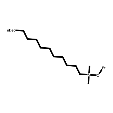 CCCCCCCCCCCCCCCCCCCC[Si](C)(C)OCC